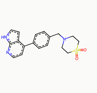 O=S1(=O)CCN(Cc2ccc(-c3ccnc4[nH]ccc34)cc2)CC1